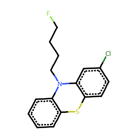 FCCCCN1c2ccccc2Sc2ccc(Cl)cc21